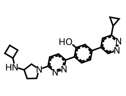 Oc1cc(-c2cnnc(C3CC3)c2)ccc1-c1ccc(N2CCC(NC3CCC3)C2)nn1